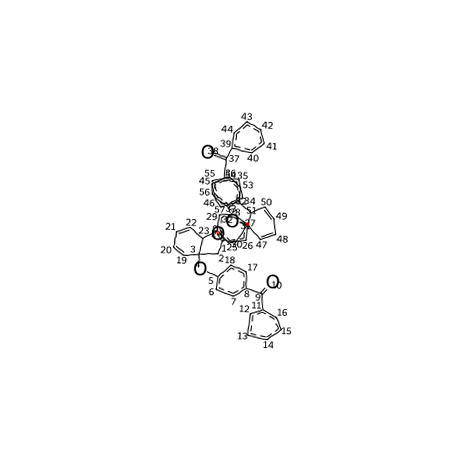 O=C(CC1(Oc2ccc(C(=O)c3ccccc3)cc2)C=CC=CC1c1ccccc1)CC1(Oc2ccc(C(=O)c3ccccc3)cc2)C=CC=CC1c1ccccc1